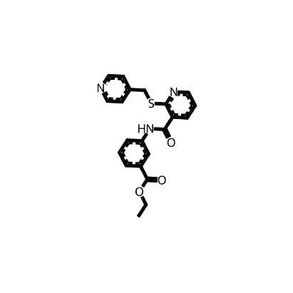 CCOC(=O)c1cccc(NC(=O)c2cccnc2SCc2ccncc2)c1